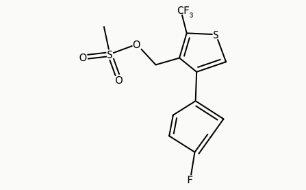 CS(=O)(=O)OCc1c(-c2ccc(F)cc2)csc1C(F)(F)F